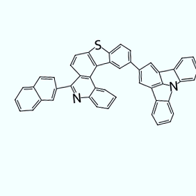 c1ccc2cc(-c3nc4ccccc4c4c3ccc3sc5ccc(-c6cc7c8ccccc8n8c9ccccc9c(c6)c78)cc5c34)ccc2c1